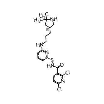 CC1(C)C[C@H](CCCNc2cccc(SNC(=O)c3ccc(Cl)nc3Cl)n2)CN1